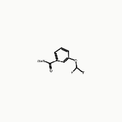 CNC(=O)c1cccc(OC(F)F)c1